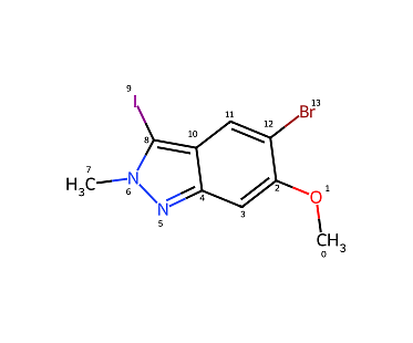 COc1cc2nn(C)c(I)c2cc1Br